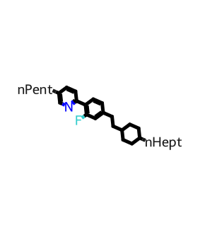 CCCCCCCC1CCC(CCc2ccc(-c3ccc(CCCCC)cn3)c(F)c2)CC1